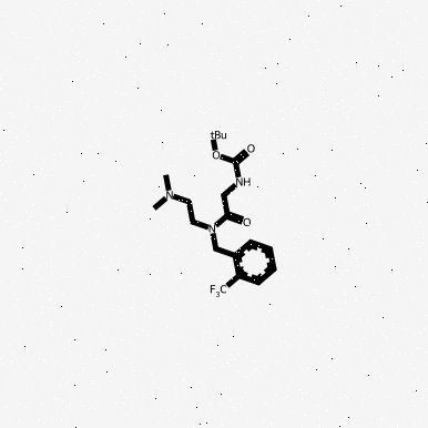 CN(C)CCN(Cc1ccccc1C(F)(F)F)C(=O)CNC(=O)OC(C)(C)C